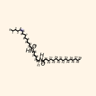 CCCC/C=C\CCCCCCCC(=O)NCCCC[C@@H](C)NC(=O)CCCCCCCCCCCCCCC